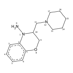 NN1c2ccccc2OCC1CN1CCCCC1